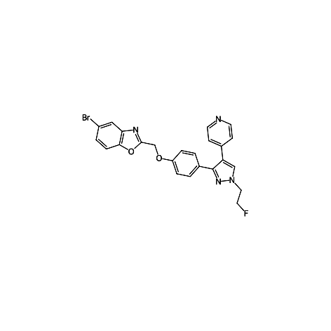 FCCn1cc(-c2ccncc2)c(-c2ccc(OCc3nc4cc(Br)ccc4o3)cc2)n1